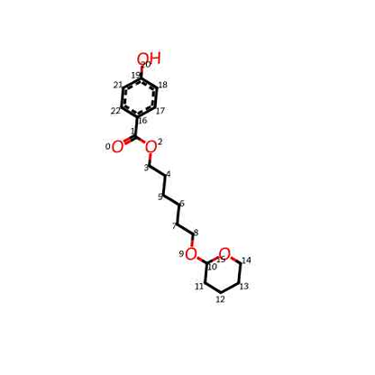 O=C(OCCCCCCOC1CCCCO1)c1ccc(O)cc1